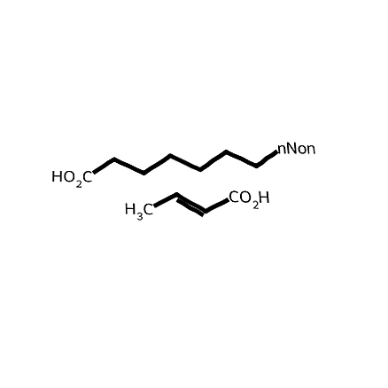 CC=CC(=O)O.CCCCCCCCCCCCCCCC(=O)O